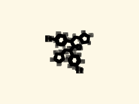 CCc1ccc(C(CC2CCCC2)C(=O)C(CC2CCCC2)c2ccc(CC)cc2)cc1